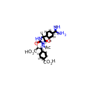 CC(=O)N([C@H](CC(=O)O)c1ccc(C(=O)O)cc1)N1C(=O)N[C@](C)(c2ccc(C(=N)N)cc2)C1=O